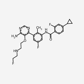 Cc1c(NC(=O)c2ccc(C3CC3)cc2F)cc(F)cc1-c1ncnc(N)c1OCCNCCF